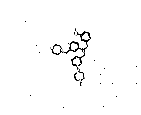 COc1cccc(CN(Cc2cccc(N3CCN(C)CC3)c2)c2ccnc(CN3CCOCC3)c2)c1